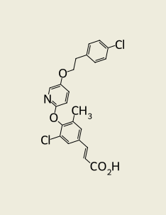 Cc1cc(C=CC(=O)O)cc(Cl)c1Oc1ccc(OCCc2ccc(Cl)cc2)cn1